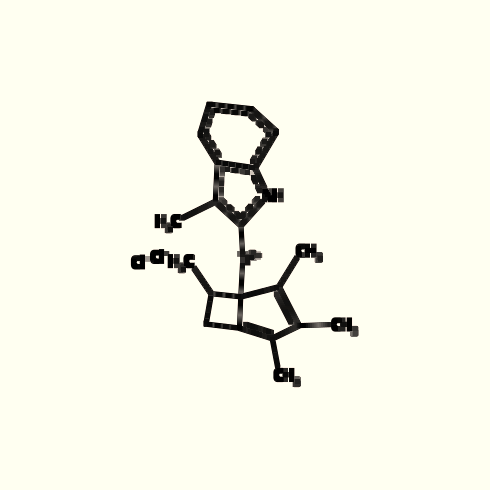 CC1=C(C)[C]2([Ti+2][c]3[nH]c4ccccc4c3C)C(=C1C)CC2C.[Cl-].[Cl-]